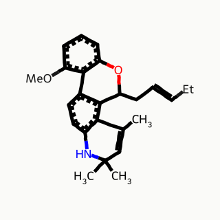 CCC=CCC1Oc2cccc(OC)c2-c2ccc3c(c21)C(C)=CC(C)(C)N3